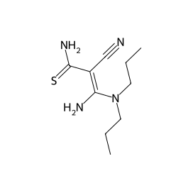 CCCN(CCC)C(N)=C(C#N)C(N)=S